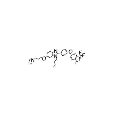 CCCCn1c(-c2ccc(Oc3ccc(F)c(C(F)(F)F)c3)cc2)nc2ccc(OCCCN3CCC3)cc21